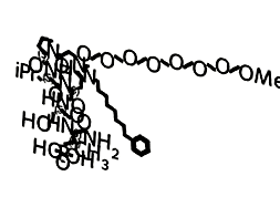 COCCOCCOCCOCCOCCOCCOCCOCCC(=O)N1CCC[C@H]1C(=O)N[C@@H](CC(C)C)C(=O)N[C@@H](Cc1cncn1CCCCCCCCc1ccccc1)C(=O)N[C@@H](CCO)C(=O)N[C@H](C(N)=O)[C@@H](C)CP(=O)(O)O